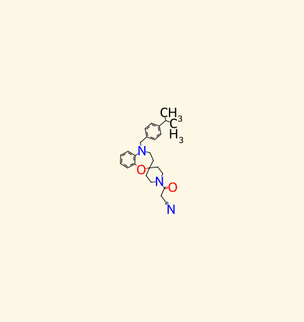 CC(C)c1ccc(CN2CCC3(CCN(C(=O)CC#N)CC3)Oc3ccccc32)cc1